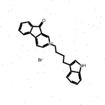 O=C1c2ccccc2-c2cc[n+](CCCCc3c[nH]c4ccccc34)cc21.[Br-]